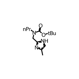 CCCN(Cc1nc(C)c[nH]1)C(=O)OC(C)(C)C